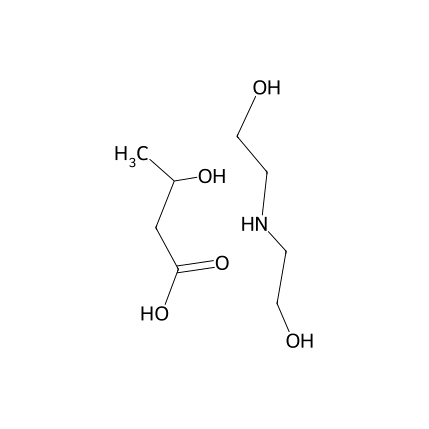 CC(O)CC(=O)O.OCCNCCO